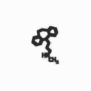 CNCCCC1c2ccccc2CCc2ccccc21